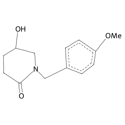 COc1ccc(CN2CC(O)CCC2=O)cc1